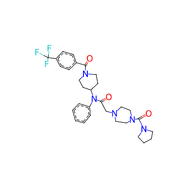 O=C(c1ccc(C(F)(F)F)cc1)N1CCC(N(C(=O)CN2CCN(C(=O)N3CCCC3)CC2)c2ccccc2)CC1